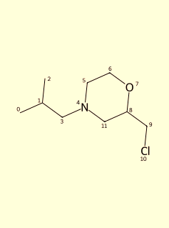 CC(C)CN1CCOC(CCl)C1